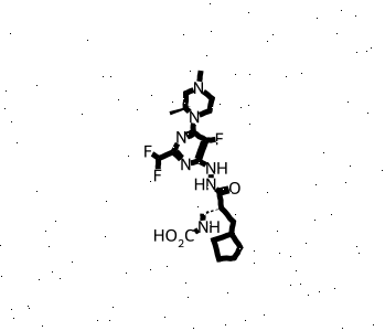 C[C@H]1CN(C)CCN1c1nc(C(F)F)nc(NNC(=O)[C@@H](CNC(=O)O)CC2CCCC2)c1F